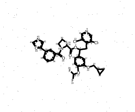 O=C(OC(Cc1c(Cl)cncc1Cl)c1ccc(OC(F)F)c(OCC2CC2)c1)C1SCCN1C(=O)c1cccc(-c2cnco2)c1